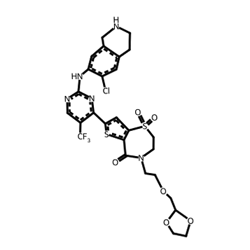 O=C1c2sc(-c3nc(Nc4cc5c(cc4Cl)CCNC5)ncc3C(F)(F)F)cc2S(=O)(=O)CCN1CCOCC1OCCO1